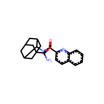 NC(=O)C12CC3CC(C1)C(NC(=O)c1ccc4ccccc4n1)C(C3)C2